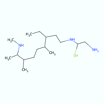 CCC(CCNC(S)CN)C(C)CCC(C)C(C)NC